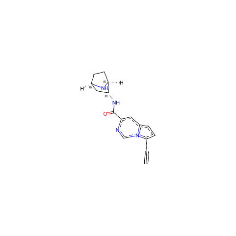 C#Cc1ccc2cc(C(=O)N[C@@H]3C[C@H]4CC[C@@H]3N4)ncn12